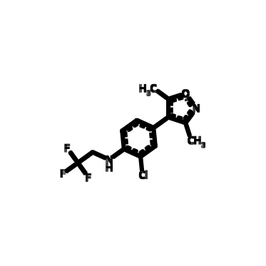 Cc1noc(C)c1-c1ccc(NCC(F)(F)F)c(Cl)c1